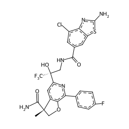 C[C@]1(C(N)=O)COc2c1cc([C@@](O)(CNC(=O)c1cc(Cl)c3nc(N)sc3c1)C(F)(F)F)nc2-c1ccc(F)cc1